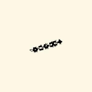 COc1ccc(N2CCN(c3ccc(N4CCC5(CC4)CCN(C4CCC4)CC5)nc3)CC2)cc1